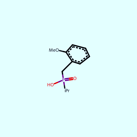 COc1ccccc1CP(=O)(O)C(C)C